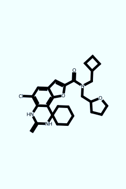 C=C1Nc2c(Cl)cc3cc(C(=O)N(CC4CCC4)CC4CCCO4)oc3c2C2(CCCCC2)N1